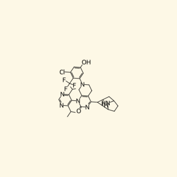 CC(C)c1ncnc(C(C)C)c1-n1c2c(c(C3C4C5CCC(C[C@H]34)N5)nc1=O)CCN(c1cc(O)cc(Cl)c1C(F)(F)F)C2